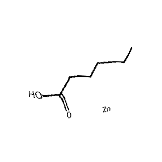 CCCCCC(=O)O.[Zn]